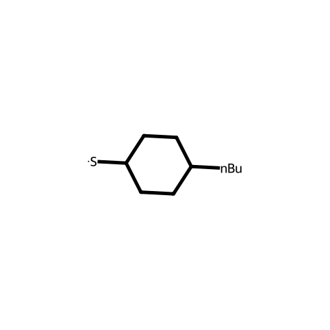 CCCCC1CCC([S])CC1